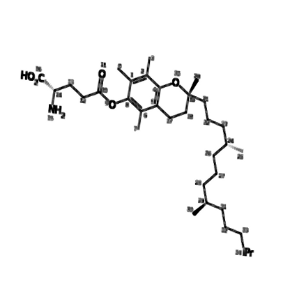 Cc1c(C)c2c(c(C)c1OC(=O)CC[C@H](N)C(=O)O)CC[C@@](C)(CCC[C@H](C)CCC[C@H](C)CCCC(C)C)O2